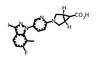 Cc1c(F)ccc2c(I)nn(-c3ccc(N4C[C@@H]5C(C(=O)O)[C@@H]5C4)nc3)c12